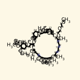 COCCOCCOC1C[C@@H]2CC[C@@H](C)[C@@](O)(O2)C(=O)C(=O)N2CCCC[C@H]2C(=O)O[C@H]([C@H](C)C[C@@H]2CC[C@@H](OP(C)(C)=O)[C@H](OC)C2)CC(=O)[C@H](C)/C=C(\C)[C@@H](OC)[C@@H](OC)C(=O)[C@H](C)C[C@H](C)/C=C/C=C/C=C/1C